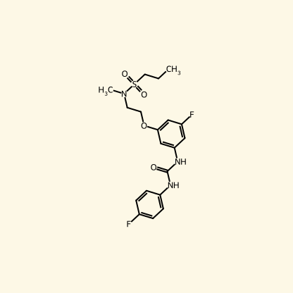 CCCS(=O)(=O)N(C)CCOc1cc(F)cc(NC(=O)Nc2ccc(F)cc2)c1